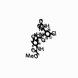 COCC(=O)Nc1ccc2onc(C(=O)Nc3ccc(Cl)cc3-c3noc(=O)[nH]3)c2c1